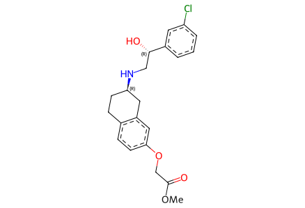 COC(=O)COc1ccc2c(c1)C[C@H](NC[C@H](O)c1cccc(Cl)c1)CC2